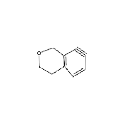 c1ccc2c(c#1)COCC2